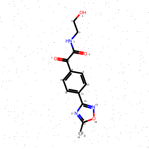 O=C(NCCO)C(=O)c1ccc(-c2noc(C(F)(F)F)n2)cc1